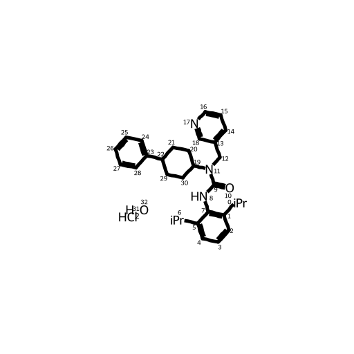 CC(C)c1cccc(C(C)C)c1NC(=O)N(Cc1cccnc1)C1CCC(c2ccccc2)CC1.Cl.O